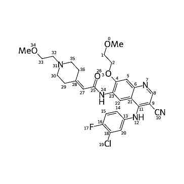 COCCOc1cc2ncc(C#N)c(Nc3ccc(F)c(Cl)c3)c2cc1NC(=O)C=C1CCN(CCOC)CC1